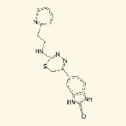 O=c1[nH]c2ccc(C3=NN=C(NCCc4ccccn4)SC3)cc2[nH]1